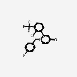 O=c1ccn(Cc2ccc(F)cc2)c(-c2cccc(C(F)(F)F)c2Cl)c1